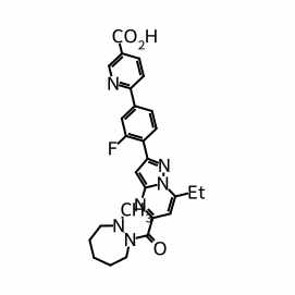 CCc1cc(C(=O)N2CCCCCN2C)nc2cc(-c3ccc(-c4ccc(C(=O)O)cn4)cc3F)nn12